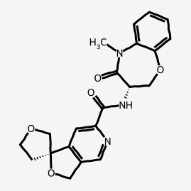 CN1C(=O)[C@@H](NC(=O)c2cc3c(cn2)CO[C@]32CCOC2)COc2ccccc21